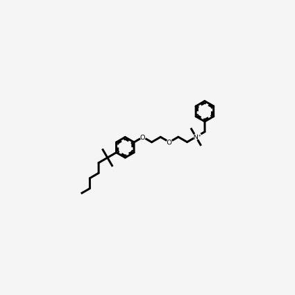 CCCCCC(C)(C)c1ccc(OCCOCC[N+](C)(C)Cc2ccccc2)cc1